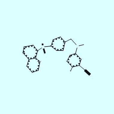 CN(Cc1ccc(S(=O)(=O)c2cccc3ccccc23)cc1)c1ccc(N)c(C#N)c1